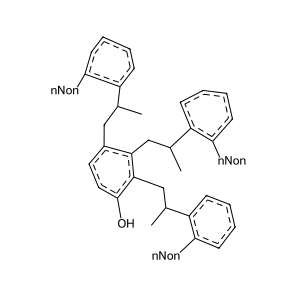 CCCCCCCCCc1ccccc1C(C)Cc1ccc(O)c(CC(C)c2ccccc2CCCCCCCCC)c1CC(C)c1ccccc1CCCCCCCCC